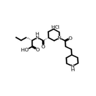 CCC[C@H](NC(=O)[C@@H]1CCCN(C(=O)CCC2CCNCC2)C1)C(=O)O.Cl